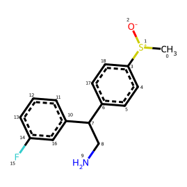 C[S+]([O-])c1ccc(C(CN)c2cccc(F)c2)cc1